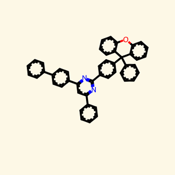 c1ccc(-c2ccc(-c3cc(-c4ccccc4)nc(-c4ccc(C5(c6ccccc6)c6ccccc6Oc6ccccc65)cc4)n3)cc2)cc1